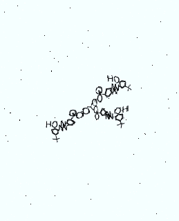 CC(C)(C)c1ccc(O)c(-n2n3c4ccc(C(=O)OCOCC(COCOC(=O)c5ccc6c(c5)n5n(-c7cc(C(C)(C)C)ccc7O)n65)COC(=O)c5ccc6c(c5)n5n(-c7cc(C(C)(C)C)ccc7O)n65)cc4n23)c1